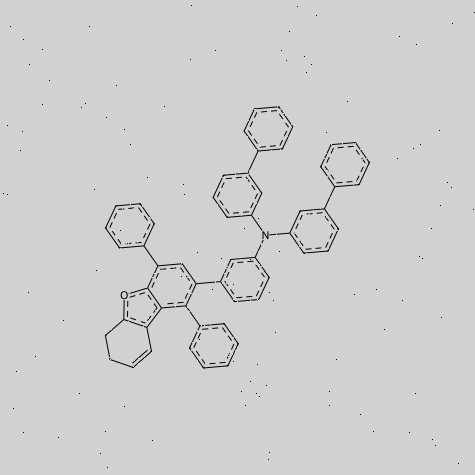 C1=Cc2c(oc3c(-c4ccccc4)cc(-c4cccc(N(c5cccc(-c6ccccc6)c5)c5cccc(-c6ccccc6)c5)c4)c(-c4ccccc4)c23)CC1